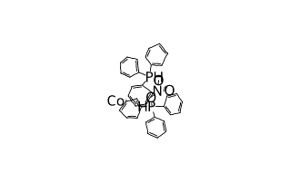 O=[N+](O[PH](c1ccccc1)(c1ccccc1)c1ccccc1)O[PH](c1ccccc1)(c1ccccc1)c1ccccc1.[Co]